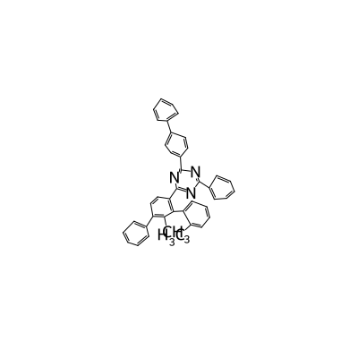 Cc1ccccc1-c1c(-c2nc(-c3ccccc3)nc(-c3ccc(-c4ccccc4)cc3)n2)ccc(-c2ccccc2)c1C